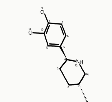 C[C@@H]1CC[C@@H](c2ccc(Cl)c(Cl)c2)NC1